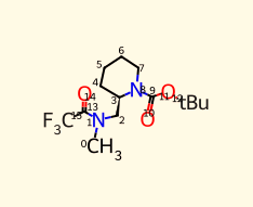 CN(C[C@H]1CCCCN1C(=O)OC(C)(C)C)C(=O)C(F)(F)F